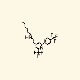 CCCCCCNCCc1cc(-c2ccc(C(F)(F)F)cc2)nc(C(F)(F)F)c1